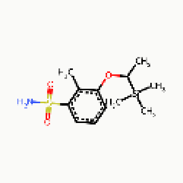 Cc1c(OC(C)[Si](C)(C)C)cccc1S(N)(=O)=O